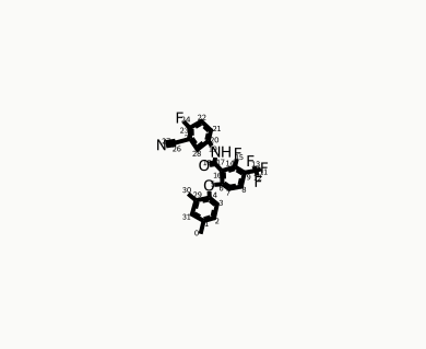 Cc1ccc(Oc2ccc(C(F)(F)F)c(F)c2C(=O)Nc2ccc(F)c(C#N)c2)c(C)c1